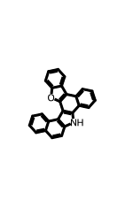 c1ccc2c(c1)ccc1[nH]c3c4ccccc4c4c5ccccc5oc4c3c12